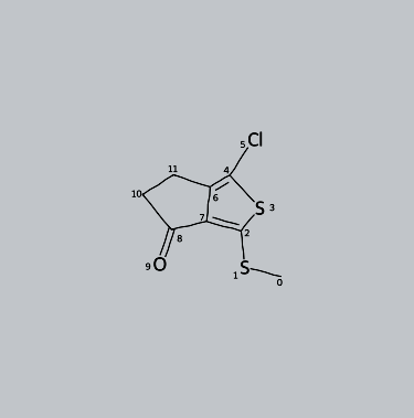 CSc1sc(Cl)c2c1C(=O)CC2